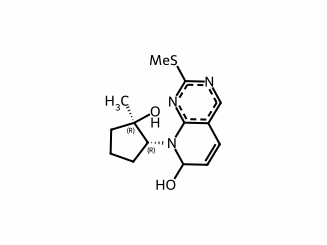 CSc1ncc2c(n1)N([C@@H]1CCC[C@@]1(C)O)C(O)C=C2